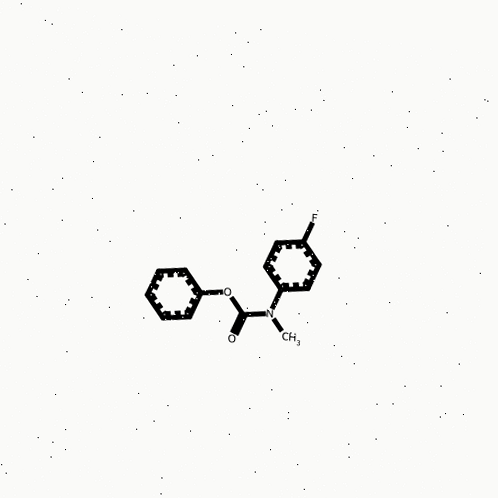 CN(C(=O)Oc1ccccc1)c1ccc(F)cc1